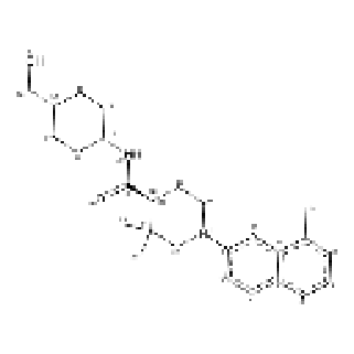 Cc1cccc2ccc(N3CC[C@H](C(=O)N[C@H]4CC[C@@H](CO)CC4)C(C)(C)C3)nc12